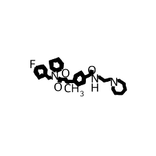 CC(=C1Oc2ccccc2N(Cc2ccc(F)cc2)C1=O)c1ccc(C(=O)NCCCN2CCCCCC2)cc1